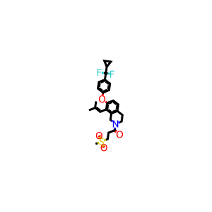 CC(C)=Cc1c(Oc2ccc(C(F)(F)C3CC3)cc2)ccc2c1CN(C(=O)CCS(C)(=O)=O)CC2